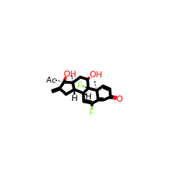 C=C1C[C@H]2[C@@H]3C=C(F)C4=CC(=O)C=C[C@]4(C)[C@@]3(F)C(O)C[C@]2(C)[C@@]1(O)C(C)=O